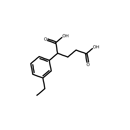 CCc1cccc(C(CCC(=O)O)C(=O)O)c1